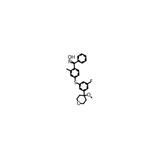 COC1(c2cc(F)cc(Sc3ccc(C(=NO)c4ccccc4)c(C)c3)c2)CCOCC1